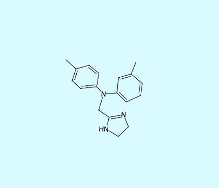 Cc1ccc(N(CC2=NCCN2)c2cccc(C)c2)cc1